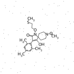 CON1CCC2(CC1)C(O)=C(c1c(C)cc(C)cc1C)C(=O)N2OCCSC